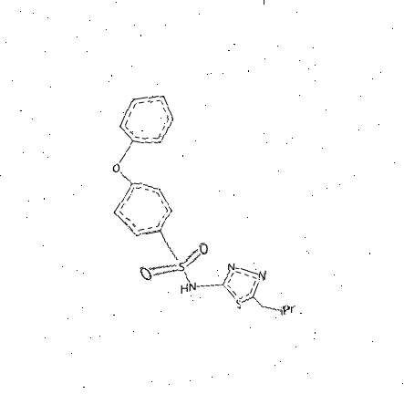 CC(C)c1nnc(NS(=O)(=O)c2ccc(Oc3ccccc3)cc2)s1